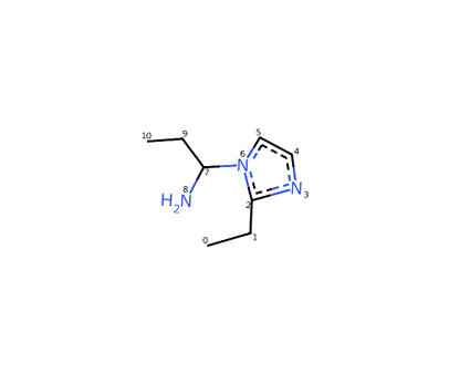 CCc1nccn1C(N)CC